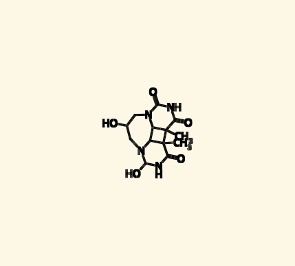 CC12C(=O)NC(=O)N3CC(O)CN4C(O)NC(=O)C1(C)C4C32